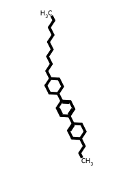 CCCCCCCCCC1CCC(c2ccc(C3=CCC(CCC)CC3)cc2)CC1